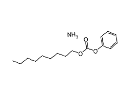 CCCCCCCCCOC(=O)Oc1ccccc1.N